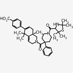 CC1(C)NC(C(=O)N2CCC(C(=O)N3CC=C4C(C)(C)C(c5ccc(C(=O)O)cc5)=CC[C@]4(C)C3)(c3ccccc3)CC2)C(C)(C)S1